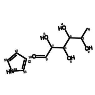 CC(O)C(O)C(O)C(O)C=O.c1cc[nH]c1